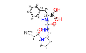 N#CCC(=O)N1CCC[C@H]1CNC(=O)N[C@@H](Cc1ccccc1)B(O)O